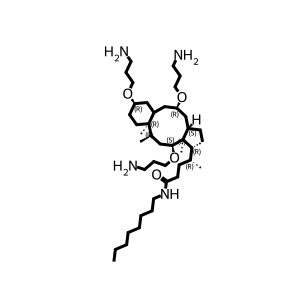 CCCCCCCCNC(=O)CC[C@@H](C)[C@H]1CC[C@H]2C[C@H](OCCCN)CC3C[C@H](OCCCN)CC[C@]3(C)[C@H](C)C[C@H](OCCCN)[C@@]21C